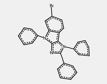 Brc1ccc2c3c(nc(-c4ccccc4)n3-c3ccccc3)n(-c3ccccc3)c2c1